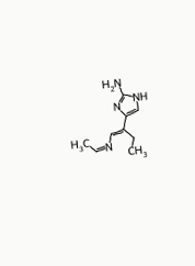 C/C=N\C=C(/CC)c1c[nH]c(N)n1